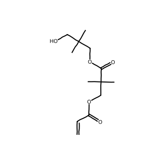 C=CC(=O)OCC(C)(C)C(=O)OCC(C)(C)CO